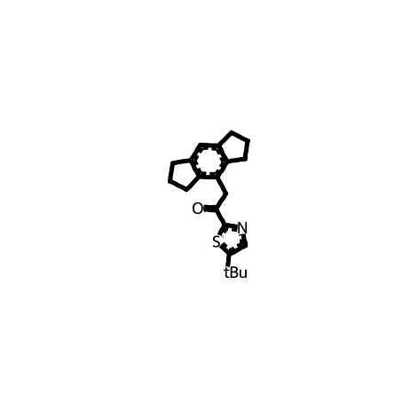 CC(C)(C)c1cnc(C(=O)Cc2c3c(cc4c2CCC4)CCC3)s1